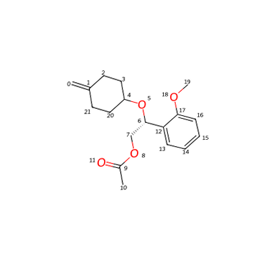 C=C1CCC(O[C@@H](COC(C)=O)c2ccccc2OC)CC1